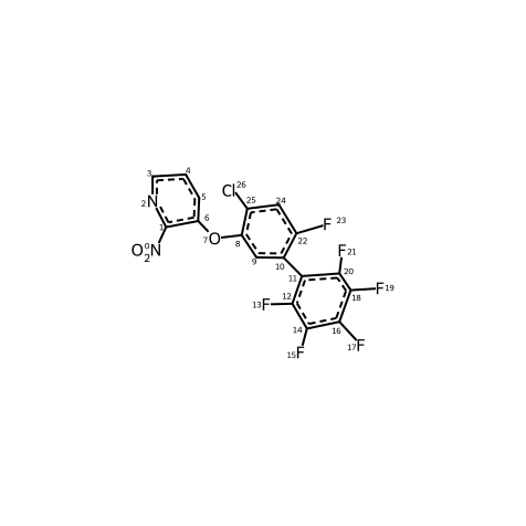 O=[N+]([O-])c1ncccc1Oc1cc(-c2c(F)c(F)c(F)c(F)c2F)c(F)cc1Cl